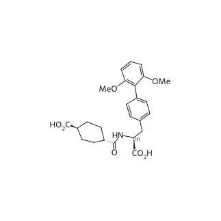 COc1cccc(OC)c1-c1ccc(C[C@H](NC(=O)[C@H]2CC[C@H](C(=O)O)CC2)C(=O)O)cc1